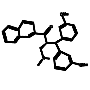 COc1cccc(C(c2cccc(OC)c2)[C@@H](CN(C)C)C(=O)c2ccc3ccccc3c2)c1